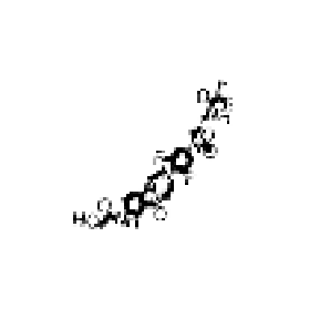 O=C(CO)Nc1ccc2c(c1)c(=O)n1n2CCN(c2c(F)cc(N3C[C@H](CNC(=O)C(F)F)OC3=O)cc2F)CC1